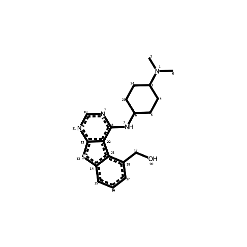 CN(C)C1CCC(Nc2ncnc3sc4cccc(CO)c4c23)CC1